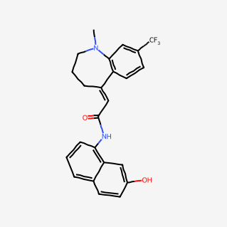 CN1CCCC(=CC(=O)Nc2cccc3ccc(O)cc23)c2ccc(C(F)(F)F)cc21